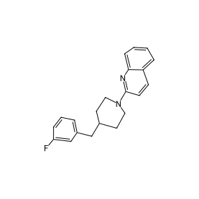 Fc1cccc(CC2CCN(c3ccc4ccccc4n3)CC2)c1